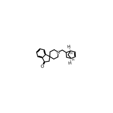 O=C1CC2(CCN(CC3C[C@@H]4C=C[C@H]3C4)CC2)c2ccccc21